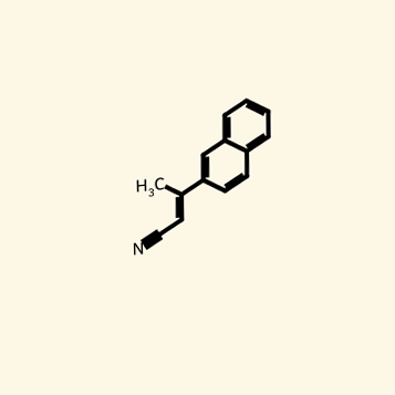 CC(=CC#N)c1ccc2ccccc2c1